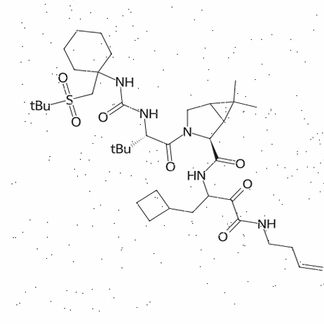 C=CCCNC(=O)C(=O)C(CC1CCC1)NC(=O)[C@@H]1C2C(CN1C(=O)[C@@H](NC(=O)NC1(CS(=O)(=O)C(C)(C)C)CCCCC1)C(C)(C)C)C2(C)C